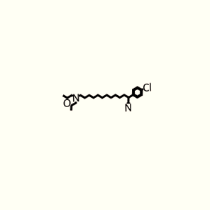 CC1CN(CCCCCCCCCCCC(C#N)c2ccc(Cl)cc2)CC(C)O1